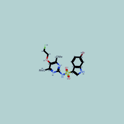 COc1nc(NS(=O)(=O)c2c[nH]c3cc(Br)ccc23)nc(OC)c1OCCF